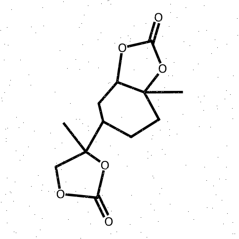 CC1(C2CCC3(C)OC(=O)OC3C2)COC(=O)O1